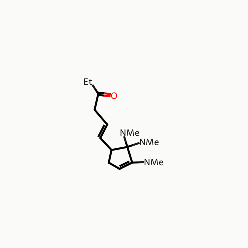 CCC(=O)CC=CC1CC=C(NC)C1(NC)NC